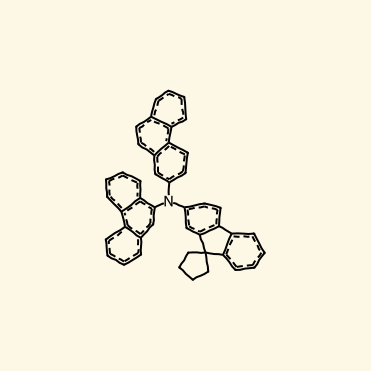 c1ccc2c(c1)-c1ccc(N(c3ccc4c(ccc5ccccc54)c3)c3cc4ccccc4c4ccccc34)cc1C21CCCC1